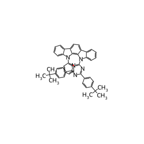 CC(C)(C)c1ccc(-c2nc(-c3ccc(C(C)(C)C)cc3)nc(-n3c4ccccc4c4ccc5c6ccccc6n(-c6ccccc6)c5c43)n2)cc1